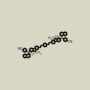 CC1(C)c2cc(/C=C/c3ccc(/C=C/c4ccc5c(c4)C(C)(C)c4cc(N(c6ccc(C#N)cc6)c6cccc7ccccc67)ccc4-5)cc3)ccc2-c2ccc(N(c3ccc(C#N)cc3)c3cccc4ccccc34)cc21